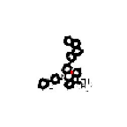 CC1(C)c2ccccc2-c2c(N(c3ccc(-c4ccc5c(ccc6ccc7ccccc7c65)c4)cc3)c3ccc4c(c3)oc3ccccc34)cccc21